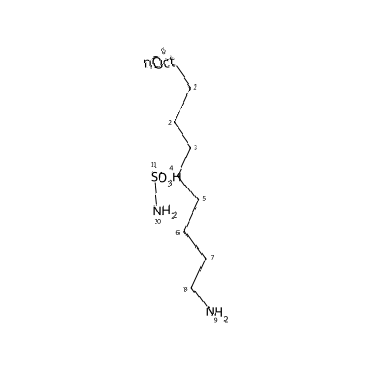 CCCCCCCCCCCCCCCCN.NS(=O)(=O)O